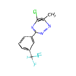 Cc1nnc(-c2cccc(C(F)(F)F)c2)nc1Cl